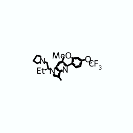 CC[C@@H](CN1CCCC1)n1cc(C)c2nc(-c3ccc(OC(F)(F)F)cc3OC)c(C)cc21